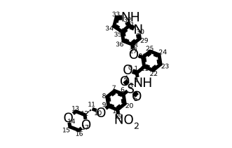 O=C(NS(=O)(=O)c1ccc(OC[C@H]2COCCO2)c([N+](=O)[O-])c1)c1ccccc1Oc1cnc2[nH]ccc2c1